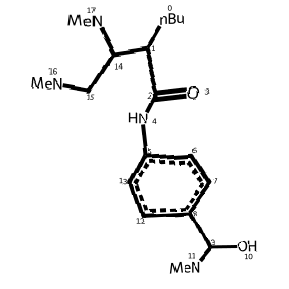 CCCCC(C(=O)Nc1ccc(C(O)NC)cc1)C(CNC)NC